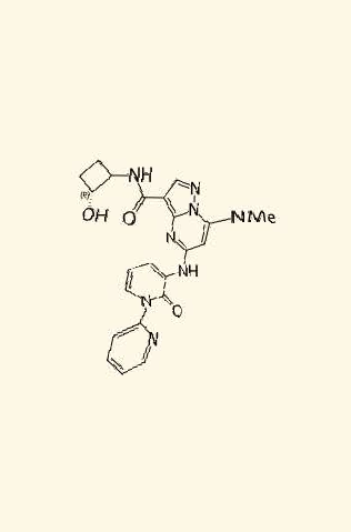 CNc1cc(Nc2cccn(-c3ccccn3)c2=O)nc2c(C(=O)NC3CC[C@H]3O)cnn12